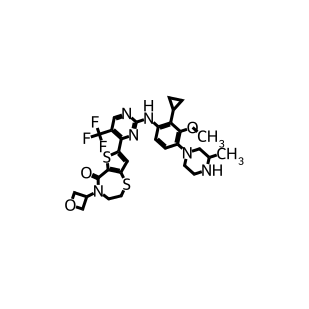 COc1c(N2CCNC(C)C2)ccc(Nc2ncc(C(F)(F)F)c(-c3cc4c(s3)C(=O)N(C3COC3)CCS4)n2)c1C1CC1